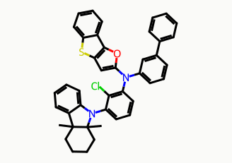 CC12CCCCC1(C)N(c1cccc(N(c3cccc(-c4ccccc4)c3)c3cc4sc5ccccc5c4o3)c1Cl)c1ccccc12